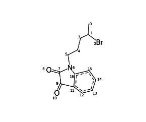 CC(Br)CCCN1C(=O)C(=O)c2ccccc21